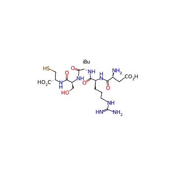 CC[C@H](C)[C@H](NC(=O)[C@H](CCCNC(=N)N)NC(=O)[C@@H](N)CC(=O)O)C(=O)N[C@@H](CO)C(=O)N[C@@H](CS)C(=O)O